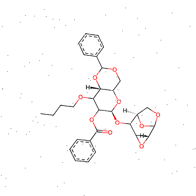 CCCCOC1C(OC(=O)c2ccccc2)[C@H](OC2C3O[C@H]3C3OC[C@H]2O3)OC2COC(c3ccccc3)O[C@H]21